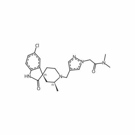 C[C@H]1C[C@@]2(CCN1Cc1cnn(CC(=O)N(C)C)c1)C(=O)Nc1ccc(Cl)cc12